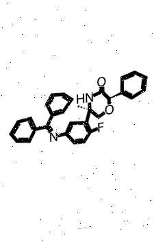 C[C@@]1(c2cc(N=C(c3ccccc3)c3ccccc3)ccc2F)CO[C@H](c2ccccc2)C(=O)N1